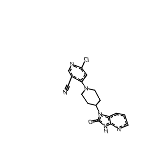 N#Cc1cnc(Cl)cc1N1CCC(n2c(=O)[nH]c3ncccc32)CC1